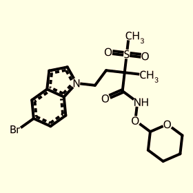 CC(CCn1ccc2cc(Br)ccc21)(C(=O)NOC1CCCCO1)S(C)(=O)=O